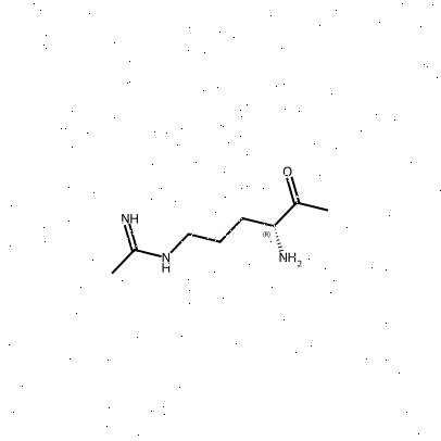 CC(=N)NCCC[C@@H](N)C(C)=O